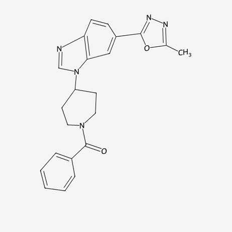 Cc1nnc(-c2ccc3ncn(C4CCN(C(=O)c5ccccc5)CC4)c3c2)o1